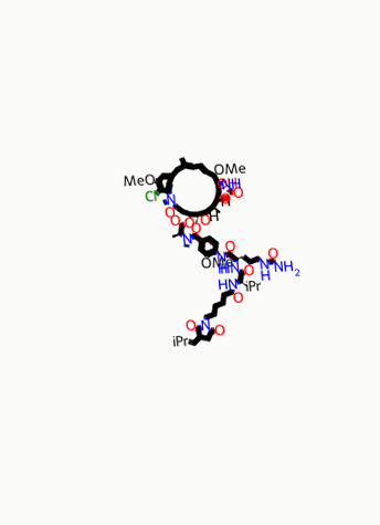 COc1cc(C(=O)N(C)[C@@H](C)C(=O)O[C@H]2CC(=O)N(C)c3cc(cc(OC)c3Cl)C/C(C)=C/C=C/[C@@H](OC)[C@@]3(O)C[C@H](OC(=O)N3)[C@@H](C)[C@@H]3O[C@@]23C)ccc1NC(=O)[C@H](CCCNC(N)=O)NC(=O)[C@@H](NC(=O)CCCCCN1C(=O)CC(CC(C)C)C1=O)C(C)C